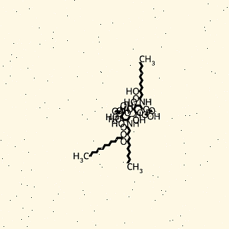 CCCCCCCCCCCC(=O)O[C@H](CCCCCCCCC)CC(=O)N[C@H]1[C@@H](O)[C@@](O)(P(=O)(O)O)[C@@H](CO)O[C@H]1C(O)[C@H]1O[C@@H](OP(=O)(O)O)[C@@H](NC(=O)C[C@H](O)CCCCCCCCC)[C@@H](O)[C@@H]1O